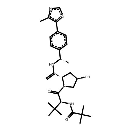 C=C(N[C@@H](C)c1ccc(-c2scnc2C)cc1)[C@@H]1C[C@@H](O)CN1C(=O)[C@@H](NC(=O)C(C)(C)C)C(C)(C)C